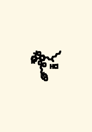 CCCCCC(C)CCc1cc(OC(=O)CCCN2CCOCC2)c2c(c1)OC(C)(C)c1ccncc1-2.Cl